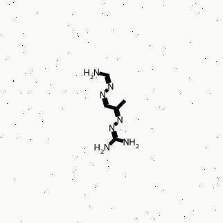 CC(/C=N\N=C/N)=N/N=C(N)N